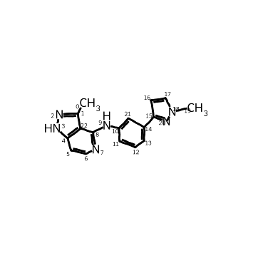 Cc1n[nH]c2ccnc(Nc3cccc(-c4ccn(C)n4)c3)c12